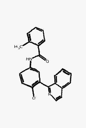 Cc1ccccc1C(=O)Nc1ccc(Cl)c(-c2nccc3ccccc23)c1